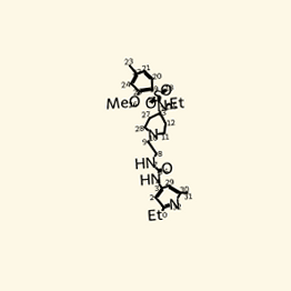 CCc1cc(NC(=O)NCCN2CCC(N(CC)S(=O)(=O)c3ccc(C)cc3OC)CC2)cc(C)n1